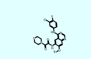 CCOc1cc2ncnc(Nc3ccc(F)c(Cl)c3)c2cc1NC(=O)C(=O)N1CCOCC1